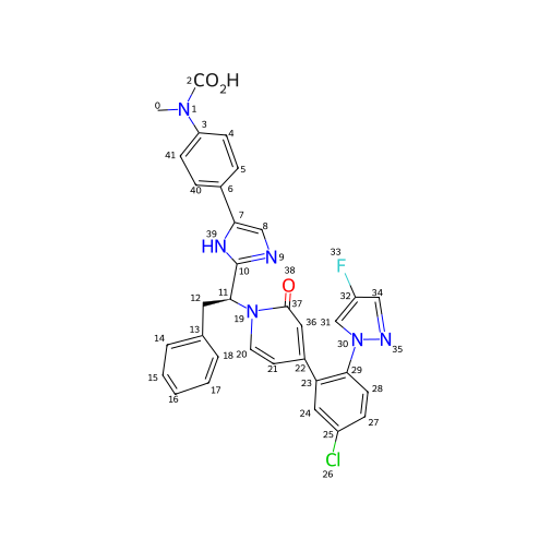 CN(C(=O)O)c1ccc(-c2cnc([C@H](Cc3ccccc3)n3ccc(-c4cc(Cl)ccc4-n4cc(F)cn4)cc3=O)[nH]2)cc1